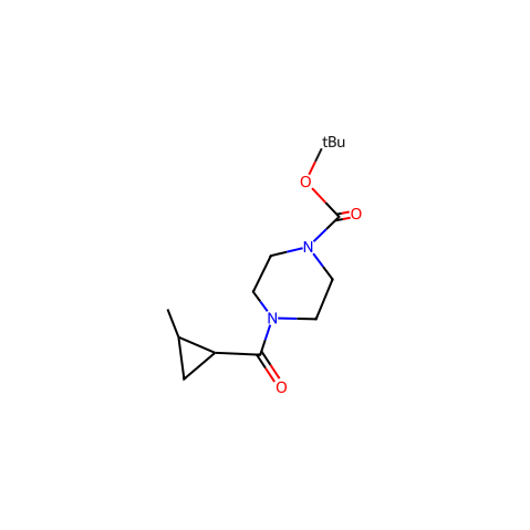 CC1CC1C(=O)N1CCN(C(=O)OC(C)(C)C)CC1